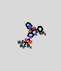 CSc1nc2c(c(N3CC4CCC(C3)N4C(=O)OCc3ccccc3)n1)CCN(C(=O)OC(C)(C)C)C2